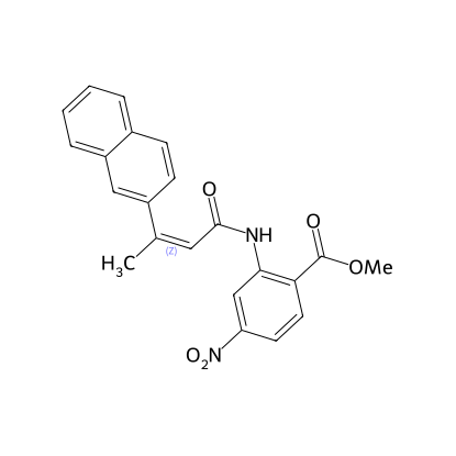 COC(=O)c1ccc([N+](=O)[O-])cc1NC(=O)/C=C(/C)c1ccc2ccccc2c1